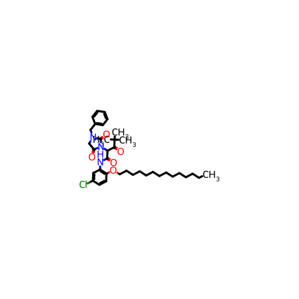 CCCCCCCCCCCCCCOc1ccc(Cl)cc1NC(=O)C(C(=O)C(C)(C)C)N1C(=O)CN(Cc2ccccc2)C1=O